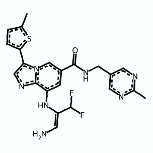 Cc1ncc(CNC(=O)c2cc(N/C(=C\N)C(F)F)c3ncc(-c4ccc(C)s4)n3c2)cn1